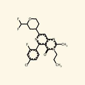 CCCn1c(C)nc2cc(C3CCOC(C(F)F)C3)nc(-c3ccc(Cl)cc3F)c2c1=O